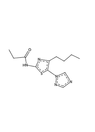 CCCCc1nc(NC(=O)CC)sc1-n1cncn1